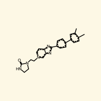 Cc1ccc(-c2ccc(-c3nc4ccn(CCN5CCNC5=O)cc-4n3)cc2)cc1C